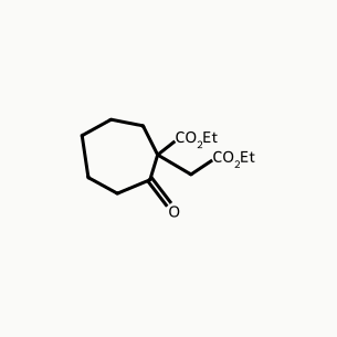 CCOC(=O)CC1(C(=O)OCC)CCCCCC1=O